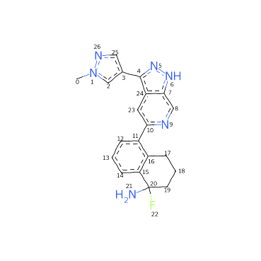 Cn1cc(-c2n[nH]c3cnc(-c4cccc5c4CCCC5(N)F)cc23)cn1